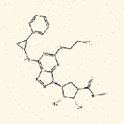 CCNC(=O)[C@@H]1C[C@H](n2nnc3c(NC4CC4c4ccccc4)nc(SCCC(F)(F)F)nc32)[C@@H](O)[C@H]1O